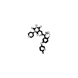 Cc1ccc(Oc2ccc(F)c([C@H](N)[C@@H](F)CC3C(=O)NC(=O)N(C4CCOCC4)C3=O)c2)cn1.Cl